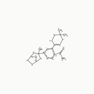 CC1(C)CC=C(c2cc(C3(O)CC4CCC(C3)O4)ccc2C(N)=O)CC1